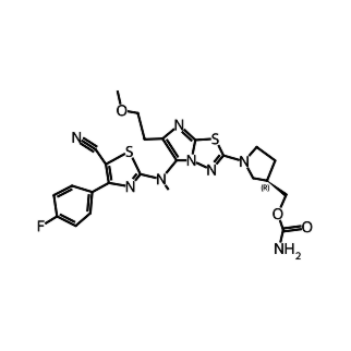 COCCc1nc2sc(N3CC[C@@H](COC(N)=O)C3)nn2c1N(C)c1nc(-c2ccc(F)cc2)c(C#N)s1